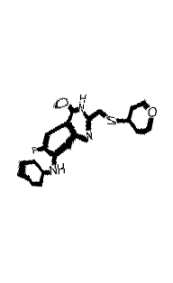 O=c1[nH]c(CSC2CCOCC2)nc2cc(NC3CCCCC3)c(F)cc12